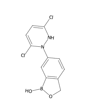 OB1OCc2ccc(N3NC(Cl)=CC=C3Cl)cc21